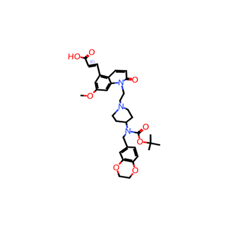 COc1cc(/C=C/C(=O)O)c2ccc(=O)n(CCN3CCC(N(Cc4ccc5c(c4)OCCO5)C(=O)OC(C)(C)C)CC3)c2c1